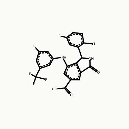 O=C(O)c1cc(Nc2cc(F)cc(C(F)(F)F)c2)c2c(c1)C(=O)NC2c1cc(F)ccc1Cl